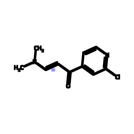 CN(C)/C=C/C(=O)c1ccnc(Cl)c1